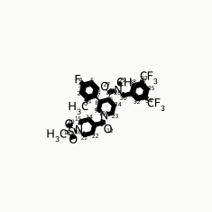 Cc1cc(F)ccc1[C@@H]1CN(C(=O)C2CCN(S(C)(=O)=O)CC2)CC[C@H]1C(=O)N(C)Cc1cc(C(F)(F)F)cc(C(F)(F)F)c1